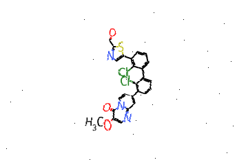 COc1cnc2cc(-c3cccc(-c4cccc(-c5cnc(C=O)s5)c4Cl)c3Cl)ccn2c1=O